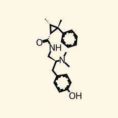 C[C@H]1[C@@H](C(=O)NC[C@H](Cc2ccc(O)cc2)N(C)C)[C@@]1(C)c1ccccc1